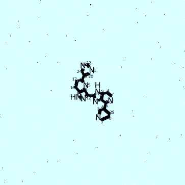 c1cncc(-c2nccc3[nH]c(-c4n[nH]c5ccc(-c6cncnc6)nc45)nc23)c1